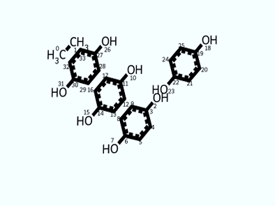 CC.Oc1ccc(O)cc1.Oc1ccc(O)cc1.Oc1ccc(O)cc1.Oc1ccc(O)cc1